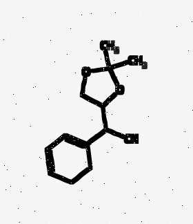 CC1(C)OCC(C(C#N)C2=CC=CCC2)O1